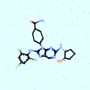 NC(=O)C1CCC(n2c(Nc3c(Cl)cc(F)cc3Cl)nc3cnc(N[C@@H]4CCC[C@H]4O)nc32)CC1